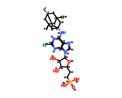 C[C@]12C[C@@H]3C[C@](C)(C1)C[C@@](Nc1nc(Cl)nc4c1ncn4C1OC(CCP(=O)(O)O)C(O)C1O)(C3)C2